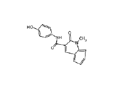 Cn1c(=O)c(C(=O)Nc2ccc(O)cc2)cc2ccccc21